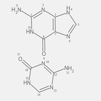 Nc1nc2[nH]cnc2c(=O)[nH]1.Nc1nc[nH]c(=O)n1